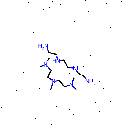 CN(C)CCN(C)CCN(C)C.NCCNCCNCCN